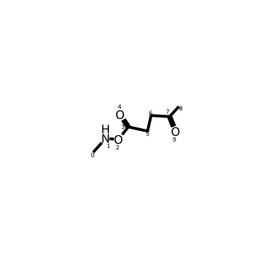 CNOC(=O)CCC(C)=O